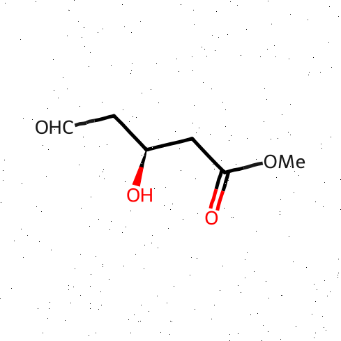 COC(=O)C[C@@H](O)CC=O